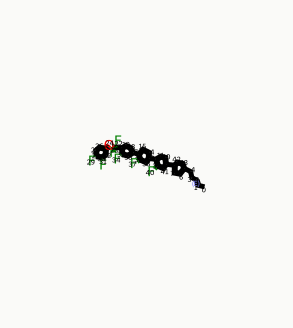 C/C=C/CCc1ccc(-c2ccc(-c3ccc(-c4ccc(C(F)(F)Oc5ccc(F)c(F)c5)c(F)c4)c(F)c3)c(F)c2)cc1